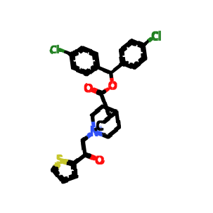 O=C(C[N+]12CCC(CC1)C(C(=O)OC(c1ccc(Cl)cc1)c1ccc(Cl)cc1)C2)c1cccs1